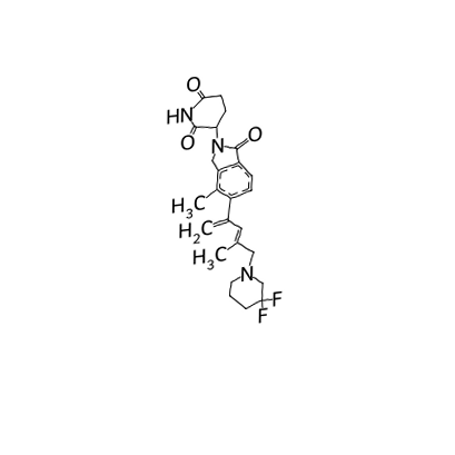 C=C(/C=C(\C)CN1CCCC(F)(F)C1)c1ccc2c(c1C)CN(C1CCC(=O)NC1=O)C2=O